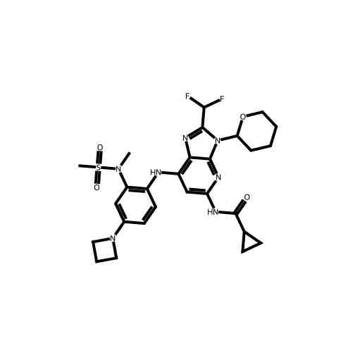 CN(c1cc(N2CCC2)ccc1Nc1cc(NC(=O)C2CC2)nc2c1nc(C(F)F)n2C1CCCCO1)S(C)(=O)=O